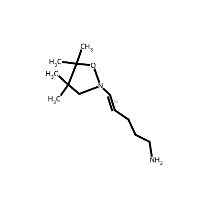 CC1(C)CN(/C=C/CCCN)OC1(C)C